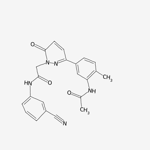 CC(=O)Nc1cc(-c2ccc(=O)n(CC(=O)Nc3cccc(C#N)c3)n2)ccc1C